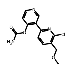 COCc1ccc(-c2cnccc2OC(N)=O)nc1Cl